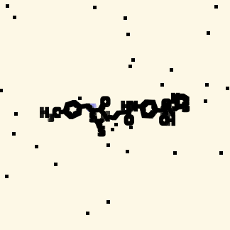 Cc1ccc(/C=C2\SC(=S)N(CCC(=O)Nc3ccc(S(=O)(=O)Nc4nccs4)cc3)C2=O)cc1